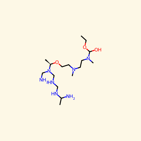 CCOC(O)N(C)CCN(C)CCO[C@H](C)N(CN)CNCNC(C)N